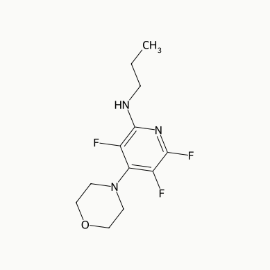 CCCNc1nc(F)c(F)c(N2CCOCC2)c1F